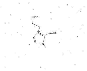 CCCCCCCCCCC[n+]1ccn(C)c1CCCCCCCC